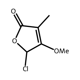 COC1=C(C)C(=O)OC1Cl